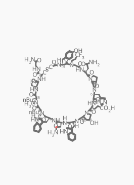 CCCC[C@H]1C(=O)N(C)[C@@H](CCCC)C(=O)N[C@@H](CC(C)C)C(=O)N[C@H](C(=O)NCC(N)=O)CSCC(=O)N[C@@H](Cc2ccc(O)cc2)C(=O)N(CCC(F)(F)F)CC(=O)N[C@@H](CC(N)=O)C(=O)N2CCC[C@H]2C(=O)N[C@@H](Cc2cnc[nH]2)C(=O)N[C@@H](CCC(=O)O)C(=O)N2C[C@H](O)C[C@H]2C(=O)N[C@@H](Cc2c[nH]c3ccccc23)C(=O)N[C@@H](CCN)C(=O)N[C@@H](Cc2c[nH]c3ccccc23)C(=O)N1C